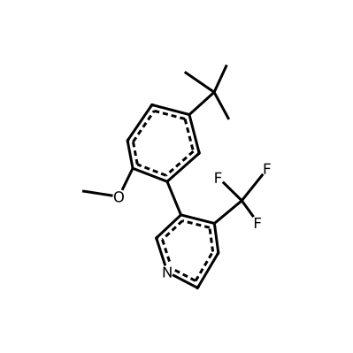 COc1ccc(C(C)(C)C)cc1-c1cnccc1C(F)(F)F